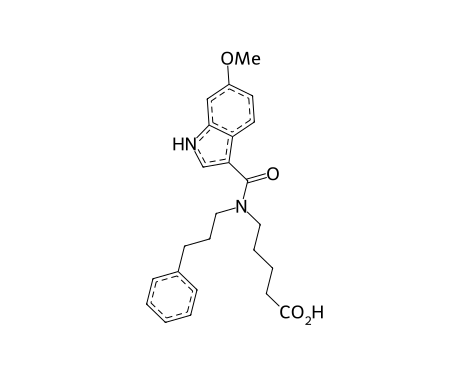 COc1ccc2c(C(=O)N(CCCCC(=O)O)CCCc3ccccc3)c[nH]c2c1